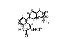 CN(Cc1ccc(-c2ccnc3[nH]c(=O)ccc23)cc1)S(N)(=O)=O.Cl